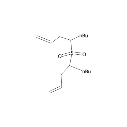 C=CCC(CCCC)S(=O)(=O)C(CC=C)CCCC